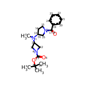 CN(C1CN(C(=O)OC(C)(C)C)C1)[C@H]1CCN(C(=O)c2ccccc2)C1